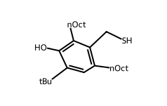 CCCCCCCCc1cc(C(C)(C)C)c(O)c(CCCCCCCC)c1CS